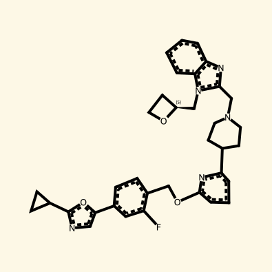 Fc1cc(-c2cnc(C3CC3)o2)ccc1COc1cccc(C2CCN(Cc3nc4ccccc4n3C[C@@H]3CCO3)CC2)n1